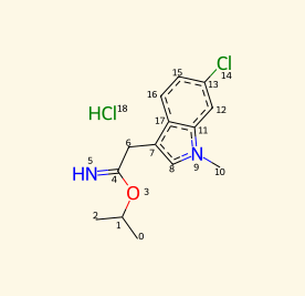 CC(C)OC(=N)Cc1cn(C)c2cc(Cl)ccc12.Cl